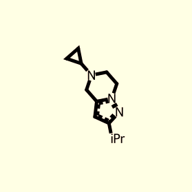 CC(C)c1cc2n(n1)CCN(C1CC1)C2